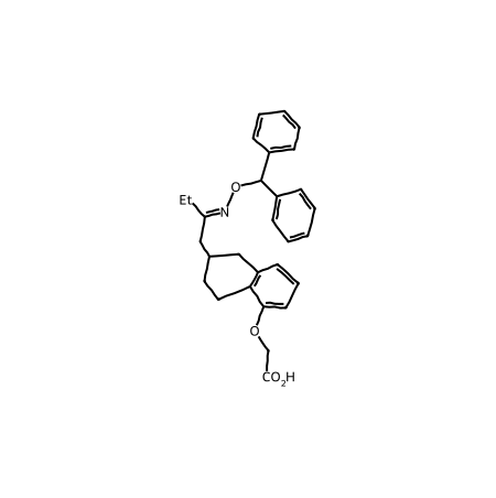 CCC(CC1CCc2c(cccc2OCC(=O)O)C1)=NOC(c1ccccc1)c1ccccc1